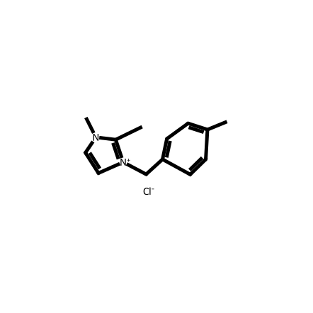 Cc1ccc(C[n+]2ccn(C)c2C)cc1.[Cl-]